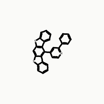 c1ccc(-c2cc(-c3c4c(cc5sc6ccccc6c35)sc3ccccc34)ccn2)cc1